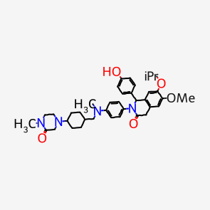 COc1cc2c(cc1OC(C)C)C(c1ccc(O)cc1)N(c1ccc(N(C)CC3CCC(N4CCN(C)C(=O)C4)CC3)cc1)C(=O)C2